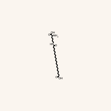 N[C@@H](CCCCNC(=O)CCCCCCCCCCCCCCCCCCC(=O)O)C(=O)O